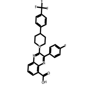 O=C(O)c1cccc2nc(N3CCC(c4ccc(C(F)(F)F)cc4)CC3)c(-c3ccc(F)cc3)nc12